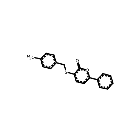 Cc1ccc(CSc2ccc(-c3ccccc3)oc2=O)cc1